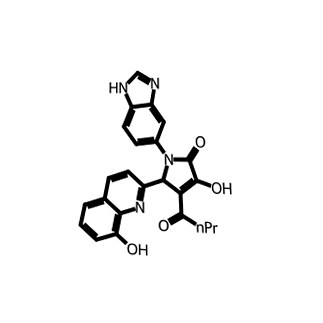 CCCC(=O)C1=C(O)C(=O)N(c2ccc3[nH]cnc3c2)C1c1ccc2cccc(O)c2n1